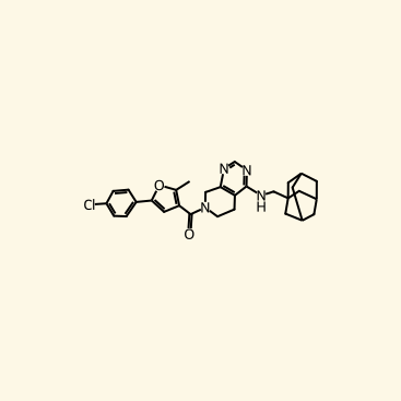 Cc1oc(-c2ccc(Cl)cc2)cc1C(=O)N1CCc2c(ncnc2NCC23CC4CC(CC(C4)C2)C3)C1